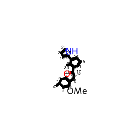 COC1=CC(C)CC=C1C[C@@H](C)C(=O)c1cccc(-c2ccc[nH]2)c1C